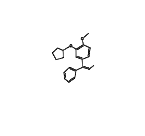 CC=C(c1ccccc1)c1ccc(OC)c(OC2CCCC2)c1